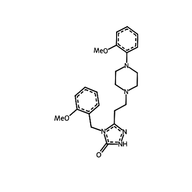 COc1ccccc1Cn1c(CCN2CCN(c3ccccc3OC)CC2)n[nH]c1=O